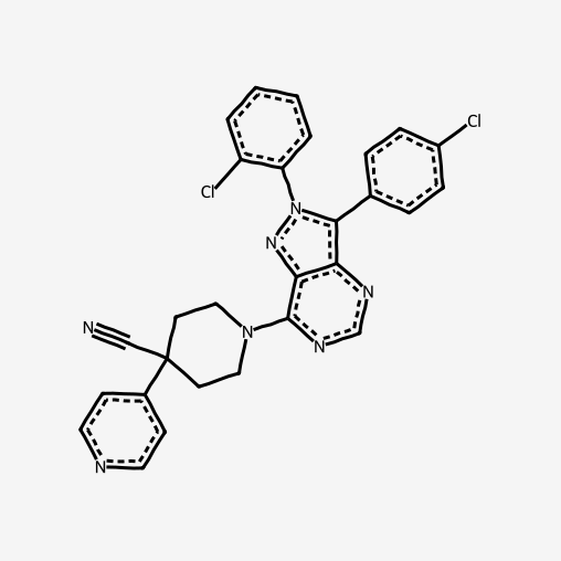 N#CC1(c2ccncc2)CCN(c2ncnc3c(-c4ccc(Cl)cc4)n(-c4ccccc4Cl)nc23)CC1